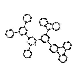 c1ccc(-c2cc(-c3ccccc3)cc(-c3nc(-c4ccccc4)nc(-c4cc(-c5ccc6c7ccccc7c7ccccc7c6c5)cc(-n5c6ccccc6c6ccccc65)c4)n3)c2)cc1